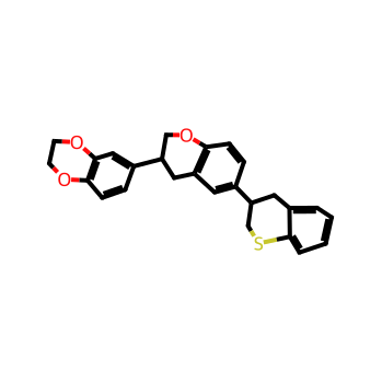 c1ccc2c(c1)CC(c1ccc3c(c1)CC(c1ccc4c(c1)OCCO4)CO3)CS2